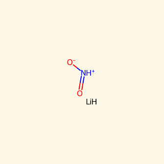 O=[NH+][O-].[LiH]